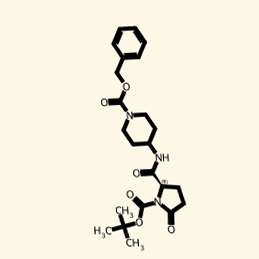 CC(C)(C)OC(=O)N1C(=O)CC[C@@H]1C(=O)NC1CCN(C(=O)OCc2ccccc2)CC1